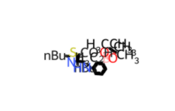 CCCCC1=NC(CCCC)(CNc2cccc(B3OC(C)(C)C(C)(C)O3)c2C)C(C(=O)O)S1